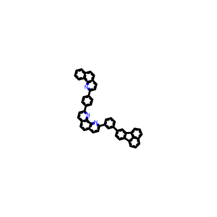 c1cc(-c2ccc3c(c2)-c2cccc4cccc-3c24)cc(-c2ccc3ccc4ccc(-c5ccc(-c6ccc7ccc8ccccc8c7n6)cc5)nc4c3n2)c1